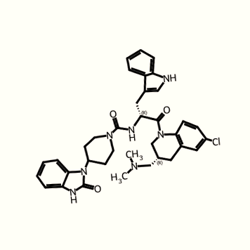 CN(C)C[C@H]1Cc2cc(Cl)ccc2N(C(=O)[C@@H](Cc2c[nH]c3ccccc23)NC(=O)N2CCC(n3c(=O)[nH]c4ccccc43)CC2)C1